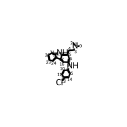 CN(C)CCc1cc(Nc2ccc(Cl)cc2)cc2c1[nH]c1ccccc12